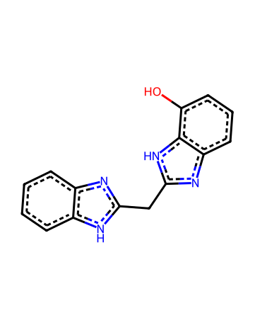 Oc1cccc2nc(Cc3nc4ccccc4[nH]3)[nH]c12